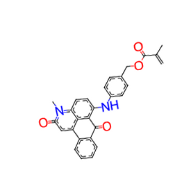 C=C(C)C(=O)OCc1ccc(Nc2ccc3c4c(cc(=O)n3C)-c3ccccc3C(=O)c24)cc1